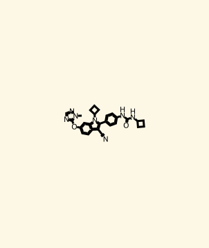 Cn1ncnc1Oc1ccc2c(C#N)c(-c3ccc(NC(=O)NC4CCC4)cc3)n(C3CCC3)c2c1